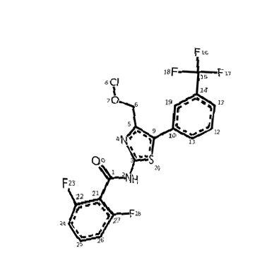 O=C(Nc1nc(COCl)c(-c2cccc(C(F)(F)F)c2)s1)c1c(F)cccc1F